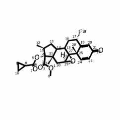 COC(=O)[C@@]1(OC(=O)C2CC2)[C@@H](C)CC2C3C[C@H](F)C4=CC(=O)C=C[C@]4(C)[C@@]34O[C@H]4C[C@@]21C